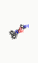 O[C@H](COc1cccc2[nH]ccc12)CN1CCC(c2ccccc2)(c2ccccc2)C1